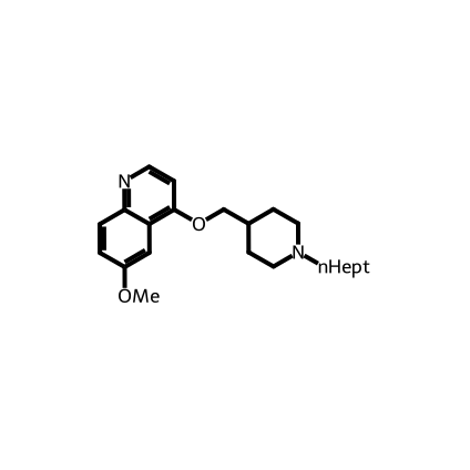 CCCCCCCN1CCC(COc2ccnc3ccc(OC)cc23)CC1